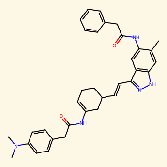 Cc1cc2[nH]nc(/C=C/C3CCC=C(NC(=O)Cc4ccc(N(C)C)cc4)C3)c2cc1NC(=O)Cc1ccccc1